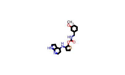 COc1cccc(CNC(=O)Oc2sccc2Nc2ccnc3[nH]ccc23)c1